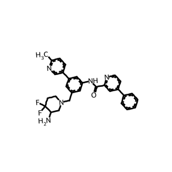 Cc1ccc(-c2cc(CN3CCC(F)(F)C(N)C3)cc(NC(=O)c3cc(-c4ccccc4)ccn3)c2)cn1